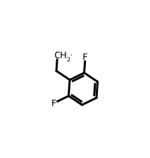 [CH2]Cc1c(F)cccc1F